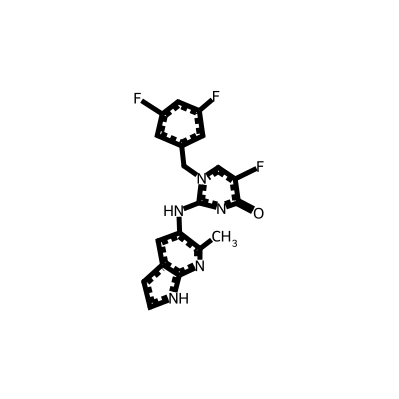 Cc1nc2[nH]ccc2cc1Nc1nc(=O)c(F)cn1Cc1cc(F)cc(F)c1